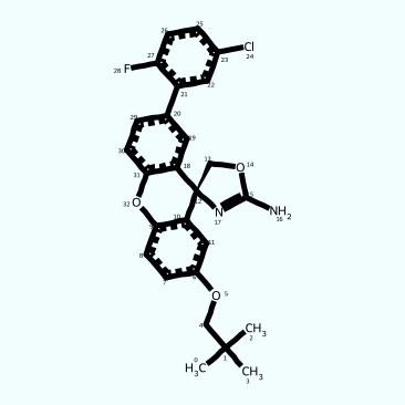 CC(C)(C)COc1ccc2c(c1)[C@]1(COC(N)=N1)c1cc(-c3cc(Cl)ccc3F)ccc1O2